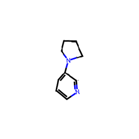 [c]1ncccc1N1CCCC1